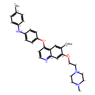 COc1cc2c(Oc3ccc(Nc4ccc(C(C)(C)C)cc4)cc3)ccnc2cc1OCCN1CCN(C)CC1